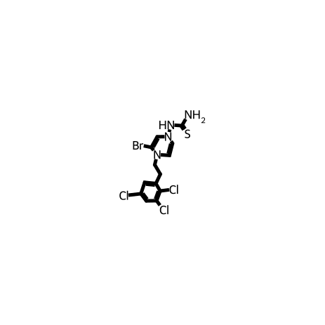 NC(=S)NN1C=CN(CCc2cc(Cl)cc(Cl)c2Cl)C(Br)=C1